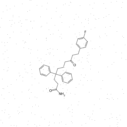 NC(=O)CCC(CCCC(=O)CCc1ccc(F)cc1)(c1ccccc1)c1ccccc1